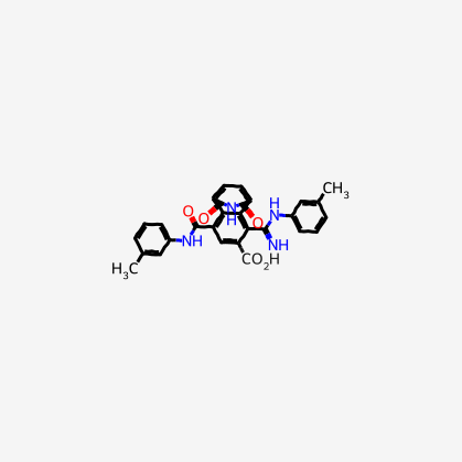 Cc1cccc(NC(=N)c2c(C(=O)O)cc(C(=O)Nc3cccc(C)c3)c3c4ccc(c(=O)[nH]c4=O)c23)c1